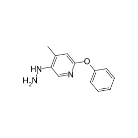 Cc1cc(Oc2ccccc2)ncc1NN